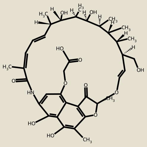 C/C1=C/C=C/[C@H](C)[C@H](O)[C@@H](C)[C@@H](O)[C@@H](C)[C@H](C)[C@H](C)[C@@H](CO)/C=C/O[C@@]2(C)Oc3c(C)c(O)c4c(O)c(cc(OCC(=O)O)c4c3C2=O)NC1=O